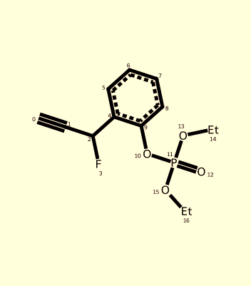 C#CC(F)c1ccccc1OP(=O)(OCC)OCC